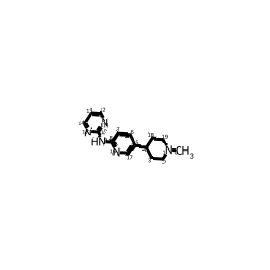 CN1CCC(c2ccc(Nc3ncccn3)nc2)CC1